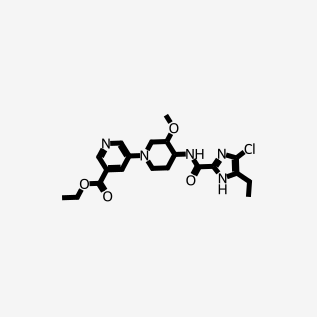 CCOC(=O)c1cncc(N2CCC(NC(=O)c3nc(Cl)c(CC)[nH]3)C(OC)C2)c1